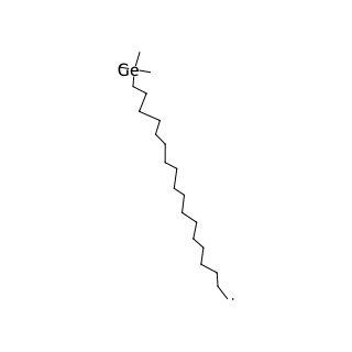 [CH2]CCCCCCCCCCCCCCCC[CH2][Ge]([CH3])([CH3])[CH3]